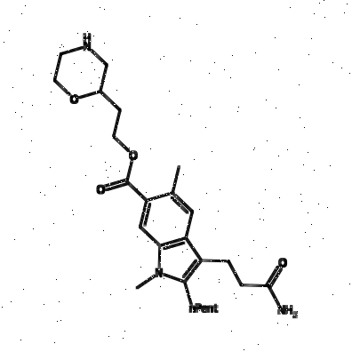 CCCCCc1c(CCC(N)=O)c2cc(C)c(C(=O)OCCC3CNCCO3)cc2n1C